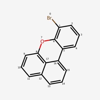 Brc1cccc2c1Oc1cccc3cccc-2c13